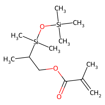 C=C(C)C(=O)OCC(C)[Si](C)(C)O[Si](C)(C)C